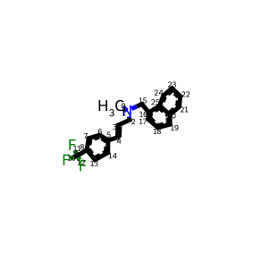 CN(CC=Cc1ccc(C(F)(F)F)cc1)Cc1cccc2ccccc12